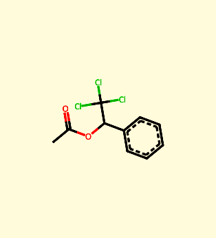 CC(=O)OC(c1ccccc1)C(Cl)(Cl)Cl